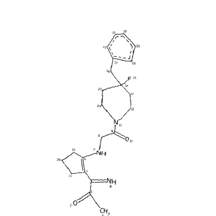 CC(=O)C(=N)C1=C(NCC(=O)N2CCC(F)(Cc3ccccc3)CC2)CCC1